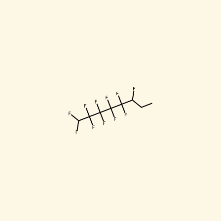 CCC(F)C(F)(F)C(F)(F)C(F)(F)C(F)(F)[C](F)F